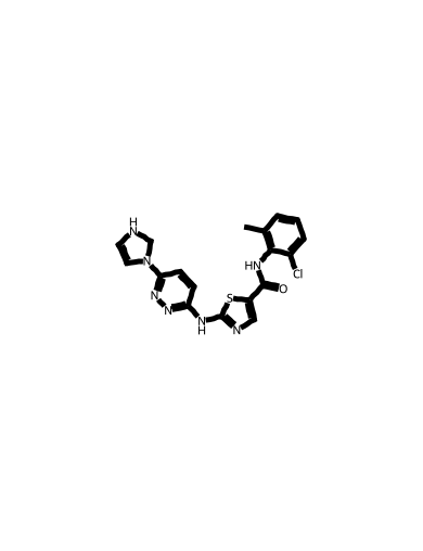 Cc1cccc(Cl)c1NC(=O)c1cnc(Nc2ccc(N3C=CNC3)nn2)s1